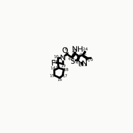 Cc1nnc2sc(C(=O)N3CC(F)(C4CCCCC4)C3)c(N)c2c1C